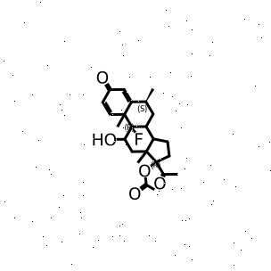 CC(=O)O[C@]1(C(C)=O)CCC2C3C[C@H](C)C4=CC(=O)C=CC4(C)[C@@]3(F)C(O)CC21C